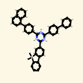 C[Si]1(C)c2ccccc2-c2ccc(-c3nc(-c4ccc(-c5ccccc5)cc4)nc(-c4ccc(-c5cccc6ccccc56)cc4)n3)cc21